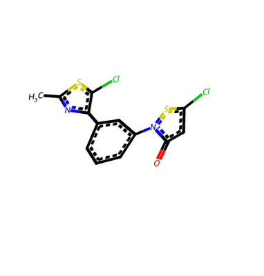 Cc1nc(-c2cccc(-n3sc(Cl)cc3=O)c2)c(Cl)s1